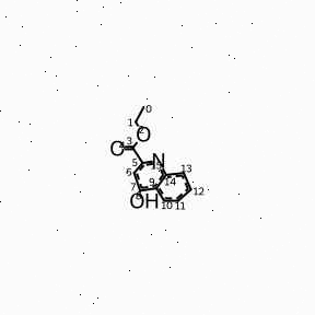 CCOC(=O)c1cc(O)c2ccccc2n1